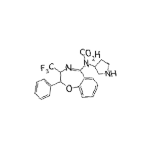 O=C(O)N(C1=NC(C(F)(F)F)C(c2ccccc2)Oc2ccccc21)C1CCNC1